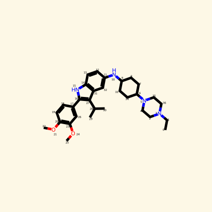 CCN1CCN(C2CCC(Nc3ccc4[nH]c(-c5ccc(OC)c(OC)c5)c(C(C)C)c4c3)CC2)CC1